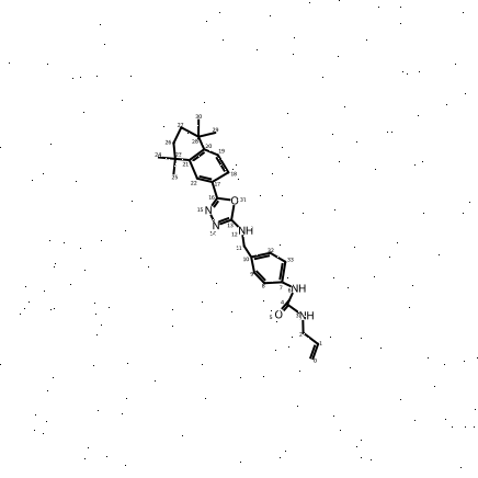 C=CCNC(=O)Nc1ccc(CNc2nnc(-c3ccc4c(c3)C(C)(C)CCC4(C)C)o2)cc1